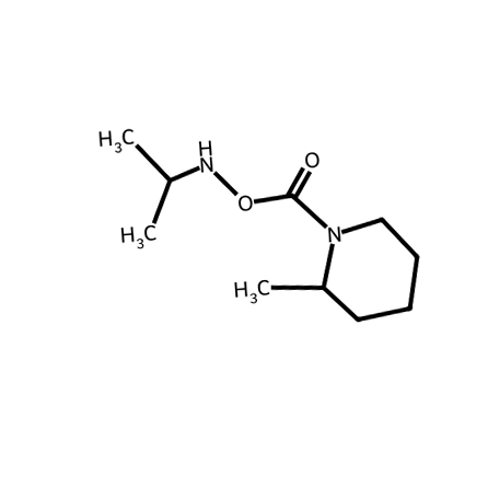 CC(C)NOC(=O)N1CCCCC1C